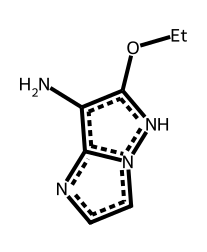 CCOc1[nH]n2ccnc2c1N